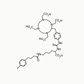 O=C(O)CN1CCN(CC(=O)O)CCN(CC(=O)O)C(Cc2ccc(NC(=S)NC(CCCCNC(=O)CCCc3ccc(I)cc3)C(=O)O)cc2)CN(CC(=O)O)CC1